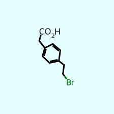 O=C(O)Cc1ccc(CCBr)cc1